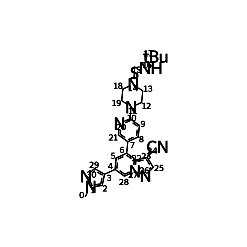 Cn1cc(-c2cc(-c3ccc(N4CCN(SNC(C)(C)C)CC4)nc3)c3c(C#N)cnn3c2)cn1